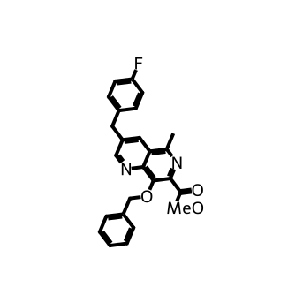 COC(=O)c1nc(C)c2cc(Cc3ccc(F)cc3)cnc2c1OCc1ccccc1